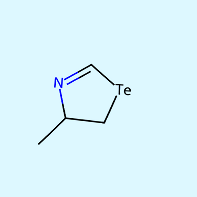 CC1C[Te]C=N1